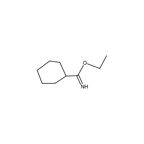 CCOC(=N)C1CCCCC1